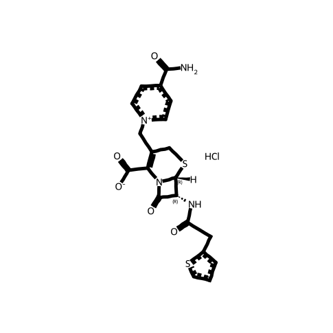 Cl.NC(=O)c1cc[n+](CC2=C(C(=O)[O-])N3C(=O)[C@@H](NC(=O)Cc4cccs4)[C@H]3SC2)cc1